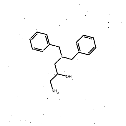 NCC(O)CN(Cc1ccccc1)Cc1ccccc1